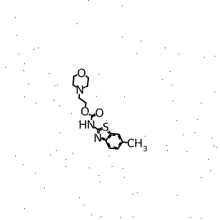 Cc1ccc2nc(NC(=O)OCCN3CCOCC3)sc2c1